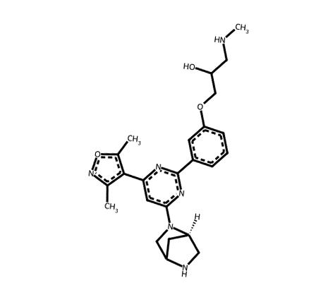 CNCC(O)COc1cccc(-c2nc(-c3c(C)noc3C)cc(N3CC4C[C@@H]3CN4)n2)c1